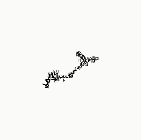 Cc1ncsc1-c1ccc(CNC(=O)[C@@H]2C[C@@H](O)CN2C(=O)[C@@H](NC(=O)CCCNCCn2cc(COCCOCCOCCNC(=O)[C@]3(Cc4cccc(Nc5nccs5)n4)CC[C@@H](Oc4cccc(Cl)c4F)CC3)nn2)C(C)(C)C)cc1